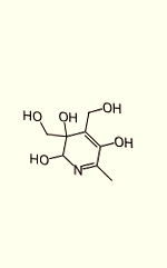 CC1=NC(O)C(O)(CO)C(CO)=C1O